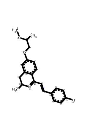 COC(C)COc1ccc2c(c1)CC(C)N=C2/C=C/c1ccc(Cl)cc1